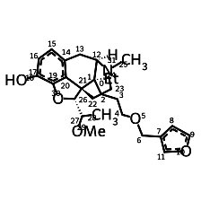 CC[C@@]1(CCCOCc2ccoc2)[C@H]2Cc3ccc(O)c4c3[C@@]1(CCN2C)[C@H](C(C)OC)O4